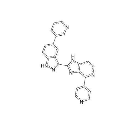 c1cncc(-c2ccc3[nH]nc(-c4nc5c(-c6ccncc6)nccc5[nH]4)c3c2)c1